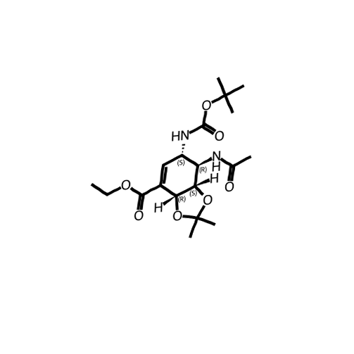 CCOC(=O)C1=C[C@H](NC(=O)OC(C)(C)C)[C@@H](NC(C)=O)[C@@H]2OC(C)(C)O[C@H]12